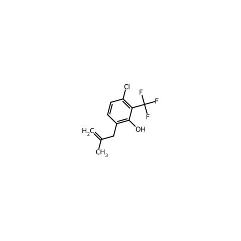 C=C(C)Cc1ccc(Cl)c(C(F)(F)F)c1O